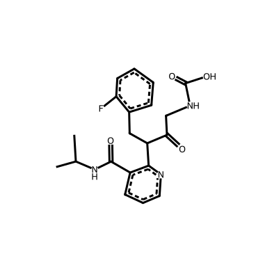 CC(C)NC(=O)c1cccnc1C(Cc1ccccc1F)C(=O)CNC(=O)O